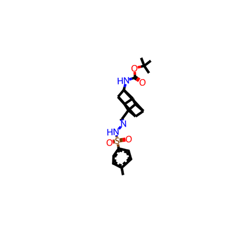 Cc1ccc(S(=O)(=O)NN=CC23C4C5C2C2C3C4C52NC(=O)OC(C)(C)C)cc1